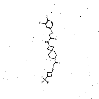 O=C(COc1ccc(Cl)c(F)c1)NC1CC2(CCN(C(=O)COC3CC(C(F)(F)F)C3)CC2)C1